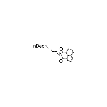 CCCCCCCCCCCCCCCCN1C(=O)c2cccc3cccc(c23)C1=O